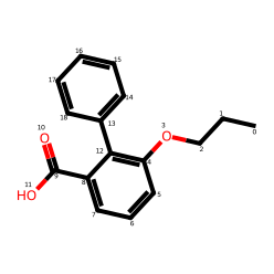 CCCOc1cccc(C(=O)O)c1-c1ccccc1